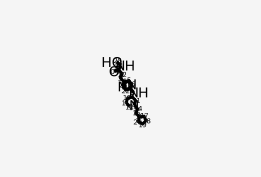 O=C(C=Cc1cnc(N[C@@H]2CCCN(CCC3CCCC3)C2)cn1)NO